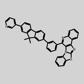 CC1(C)c2cc(-c3cccnc3)ccc2-c2ccc(-c3cccc(-c4nc5ccccc5c5nc6sc7ccccc7n6c45)c3)cc21